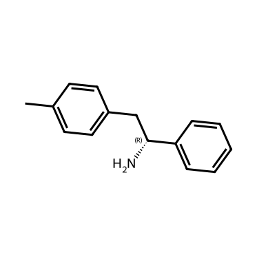 Cc1ccc(C[C@@H](N)c2ccccc2)cc1